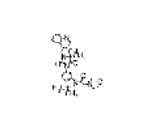 CC1(C)CN(C(=O)CN2CCOCC2)c2cc(N3C(=O)N(Cc4ccnc5ccccc45)C(C)(C)C3=O)ccc21